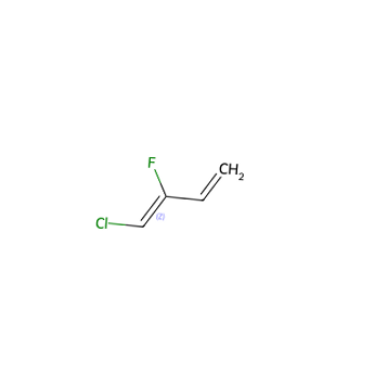 C=C/C(F)=C/Cl